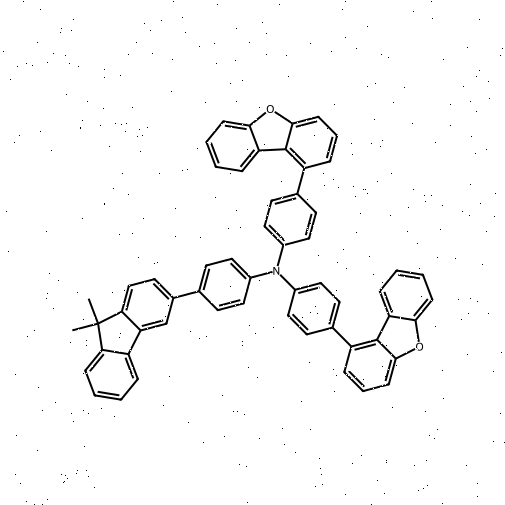 CC1(C)c2ccccc2-c2cc(-c3ccc(N(c4ccc(-c5cccc6oc7ccccc7c56)cc4)c4ccc(-c5cccc6oc7ccccc7c56)cc4)cc3)ccc21